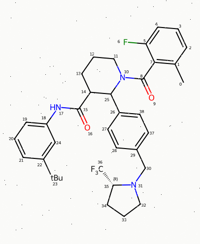 Cc1cccc(F)c1C(=O)N1CCCC(C(=O)Nc2cccc(C(C)(C)C)c2)C1c1ccc(CN2CCC[C@@H]2C(F)(F)F)cc1